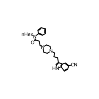 CCCCCCN(C(=O)CCN1CCN(CCCc2c[nH]c3ccc(C#N)cc23)CC1)c1ccccc1